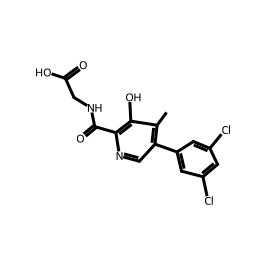 Cc1c(-c2cc(Cl)cc(Cl)c2)cnc(C(=O)NCC(=O)O)c1O